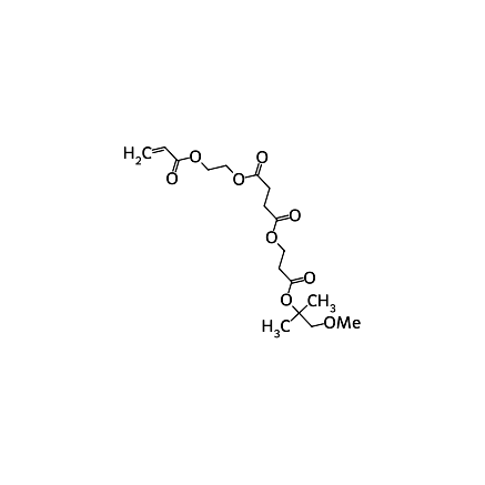 C=CC(=O)OCCOC(=O)CCC(=O)OCCC(=O)OC(C)(C)COC